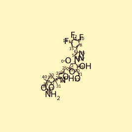 CO[C@@H]1[C@@H](n2cc(-c3cc(F)c(F)c(F)c3)nn2)[C@@H](O)[C@@H](CO)O[C@@H]1Cc1cc(C(C)(C)C(OC(N)=O)C(C)(C)C)no1